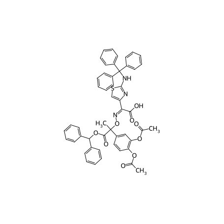 CC(=O)Oc1ccc(C(C)(O/N=C(\C(=O)O)c2csc(NC(c3ccccc3)(c3ccccc3)c3ccccc3)n2)C(=O)OC(c2ccccc2)c2ccccc2)cc1OC(C)=O